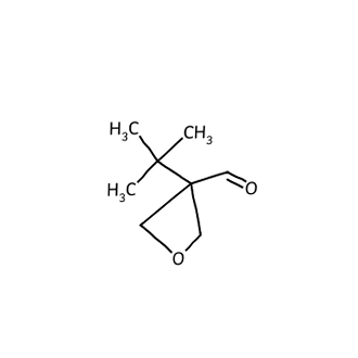 CC(C)(C)C1(C=O)COC1